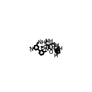 CNCc1cc(-c2cccc(CN3O[C@@H](CN)[C@@H]([C@H](C)O)[C@H]3C(=O)NC3C[C@H]4C[C@@H]([C@@H]3C)C4(C)C)c2OC)cc(N(C)C)c1